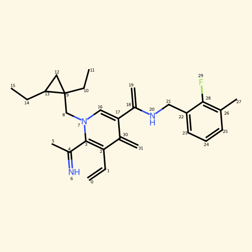 C=CC1=C(C(C)=N)N(CC2(CC)CC2CC)C=C(C(=C)NCc2cccc(C)c2F)C1=C